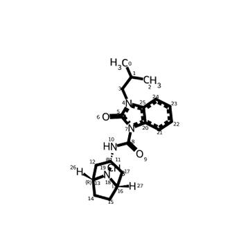 CC(C)Cn1c(=O)n(C(=O)N[C@H]2C[C@H]3CC[C@@H](C2)N3C)c2ccccc21